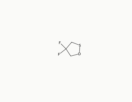 FC1(F)COSC1